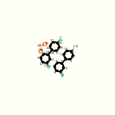 Fc1ccc(-c2cccc(F)c2)cc1.Fc1ccc(-c2cccc(F)c2)cc1.O=S=O